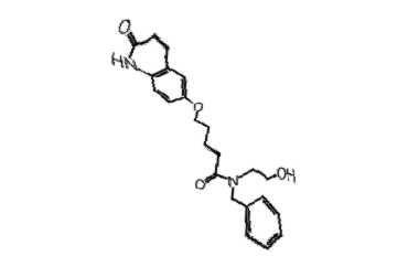 O=C1CCc2cc(OCCCCC(=O)N(CCO)Cc3ccccc3)ccc2N1